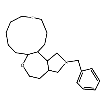 c1ccc(CN2CC3CCOC4CCCCCCCCCC4C3C2)cc1